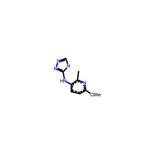 COc1ccc(NC2=NN=C[N]2)c(C)n1